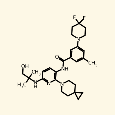 Cc1cc(C(=O)Nc2ccc(NC(C)(C)CO)nc2N2CCC3(CC2)CC3)cc(N2CCC(F)(F)CC2)c1